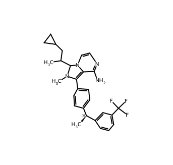 CC(CC1CC1)C1N(C)C(c2ccc([C@H](C)c3cccc(C(F)(F)F)c3)cc2)=C2C(N)=NC=CN21